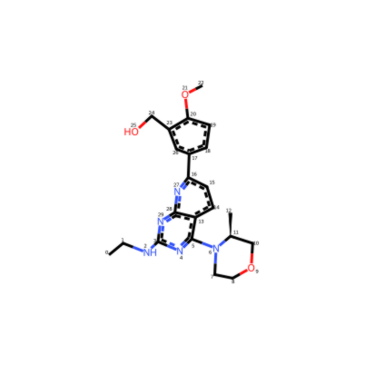 CCNc1nc(N2CCOC[C@@H]2C)c2ccc(-c3ccc(OC)c(CO)c3)nc2n1